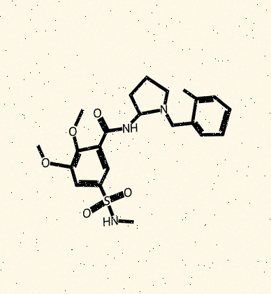 CNS(=O)(=O)c1cc(OC)c(OC)c(C(=O)NC2CCCN2Cc2ccccc2C)c1